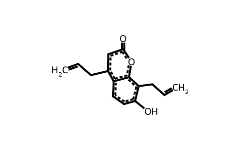 C=CCc1cc(=O)oc2c(CC=C)c(O)ccc12